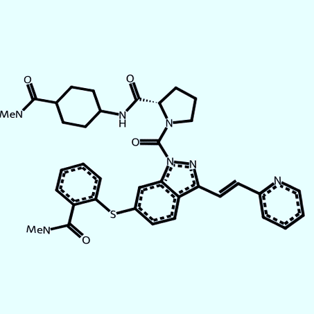 CNC(=O)c1ccccc1Sc1ccc2c(/C=C/c3ccccn3)nn(C(=O)N3CCC[C@H]3C(=O)NC3CCC(C(=O)NC)CC3)c2c1